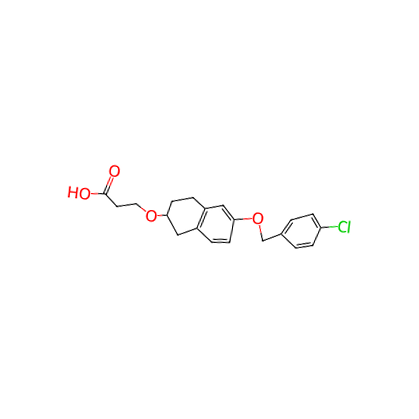 O=C(O)CCOC1CCc2cc(OCc3ccc(Cl)cc3)ccc2C1